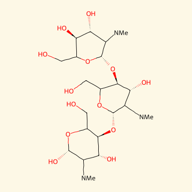 CNC1[C@H](O[C@@H]2C(CO)O[C@@H](O[C@@H]3C(CO)O[C@@H](O)C(NC)[C@H]3O)C(NC)[C@H]2O)OC(CO)[C@@H](O)[C@@H]1O